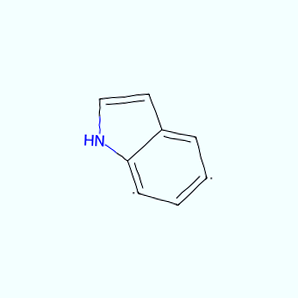 [c]1c[c]c2[nH]ccc2c1